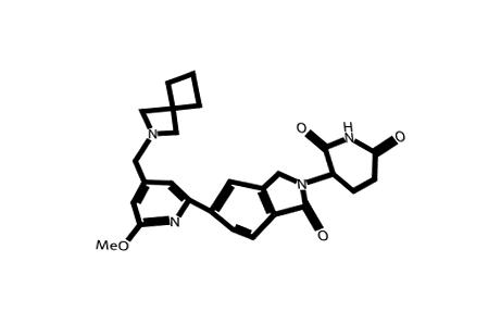 COc1cc(CN2CC3(CCC3)C2)cc(-c2ccc3c(c2)CN(C2CCC(=O)NC2=O)C3=O)n1